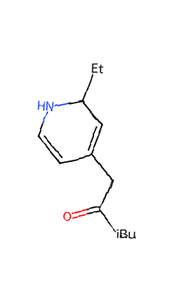 CCC1C=C(CC(=O)C(C)CC)C=CN1